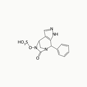 O=C1N2CC(c3cn[nH]c3C2c2ccccc2)N1OS(=O)(=O)O